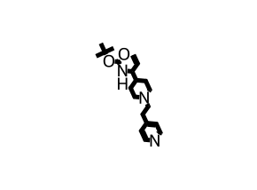 C=CC(NC(=O)OC(C)(C)C)C1CCN(CCc2ccncc2)CC1